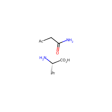 CC(=O)CC(N)=O.CC(C)[C@H](N)C(=O)O